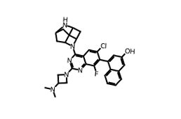 CN(C)C1CN(c2nc(N3C4CC5CC46C(CC36)N5)c3cc(Cl)c(-c4cc(O)cc5ccccc45)c(F)c3n2)C1